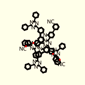 [C-]#[N+]c1ccc(-c2ccc(-c3nc(-c4ccc(-c5cccc(C#N)c5)cc4-n4c5ccc(-c6nc(-c7ccccc7)nc(-c7ccccc7)n6)cc5c5cc(-c6nc(-c7ccccc7)nc(-c7ccccc7)n6)ccc54)nc(-c4ccc(-c5cccc(C#N)c5)cc4-n4c5ccc(-c6nc(-c7ccccc7)nc(-c7ccccc7)n6)cc5c5cc(-c6nc(-c7ccccc7)nc(-c7ccccc7)n6)ccc54)n3)cc2)cc1